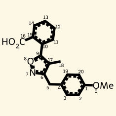 COc1ccc(Cc2noc(-c3ccccc3C(=O)O)c2C)cc1